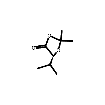 CC(C)[C@@H]1OC(C)(C)OC1=O